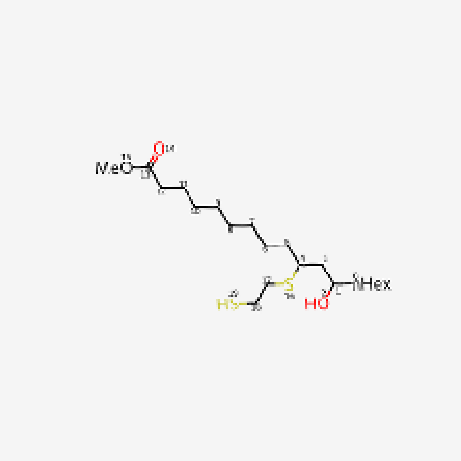 CCCCCCC(O)CC(CCCCCCCCC(=O)OC)SCCS